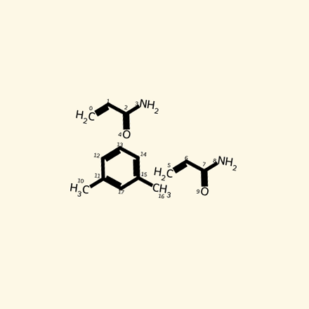 C=CC(N)=O.C=CC(N)=O.Cc1cccc(C)c1